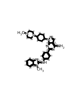 CN1CCN(C2CCC(n3ncc4c(N)nc(-c5ccc(Nc6nc7ccccc7n6C)cc5)nc43)CC2)CC1